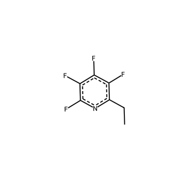 CCc1nc(F)c(F)c(F)c1F